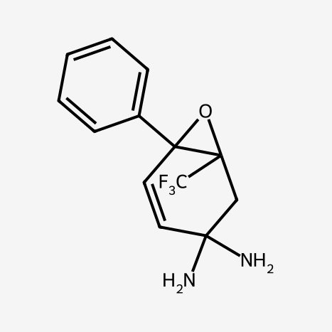 NC1(N)C=CC2(c3ccccc3)OC2(C(F)(F)F)C1